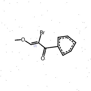 CO/C=C(\Br)C(=O)c1ccccc1